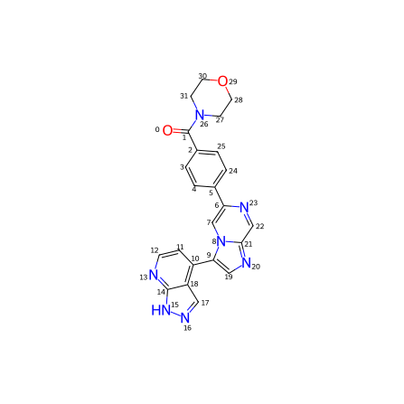 O=C(c1ccc(-c2cn3c(-c4ccnc5[nH]ncc45)cnc3cn2)cc1)N1CCOCC1